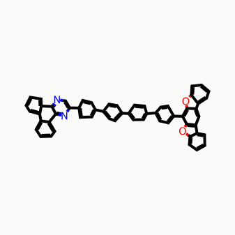 c1ccc2c(c1)oc1c(-c3ccc(-c4ccc(-c5ccc(-c6ccc(-c7cnc8c9ccccc9c9ccccc9c8n7)cc6)cc5)cc4)cc3)c3oc4ccccc4c3cc12